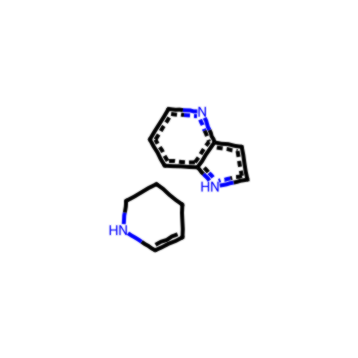 C1=CNCCC1.c1cnc2cc[nH]c2c1